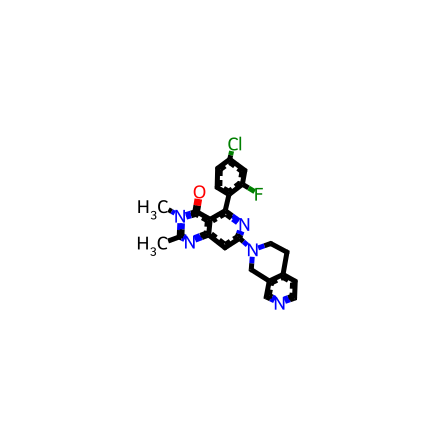 Cc1nc2cc(N3CCc4ccncc4C3)nc(-c3ccc(Cl)cc3F)c2c(=O)n1C